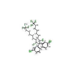 FC(CCCCCCC(F)(F)F)C1(C(F)CCCCCCC(F)(F)F)c2cc(Br)ccc2-c2ccc(Br)cc21